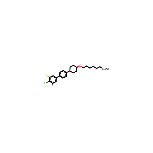 COCCCCCCOC1CCC(c2ccc(-c3cc(F)c(Cl)c(F)c3)cc2)CC1